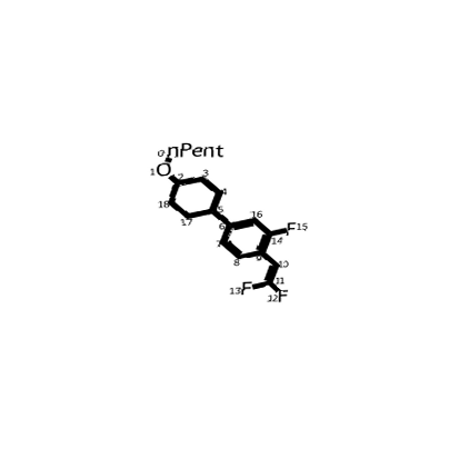 CCCCCOC1CCC(c2ccc(C=C(F)F)c(F)c2)CC1